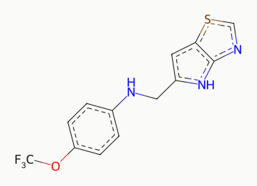 FC(F)(F)Oc1ccc(NCc2cc3scnc3[nH]2)cc1